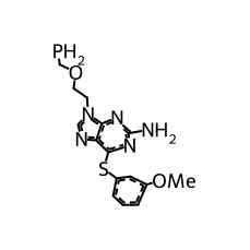 COc1cccc(Sc2nc(N)nc3c2ncn3CCOCP)c1